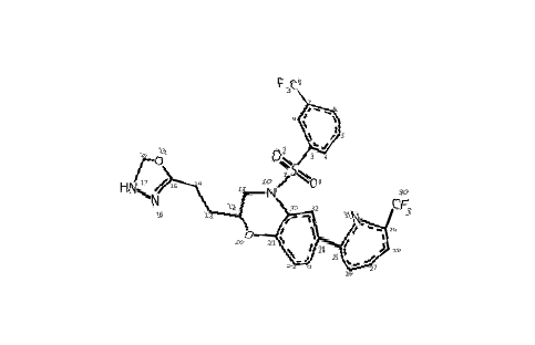 O=S(=O)(c1cccc(C(F)(F)F)c1)N1CC(CCC2=NNCO2)Oc2ccc(-c3cccc(C(F)(F)F)n3)cc21